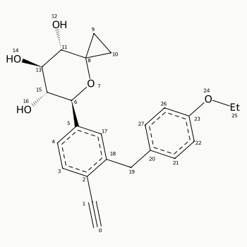 C#Cc1ccc([C@@H]2OC3(CC3)[C@@H](O)[C@H](O)[C@H]2O)cc1Cc1ccc(OCC)cc1